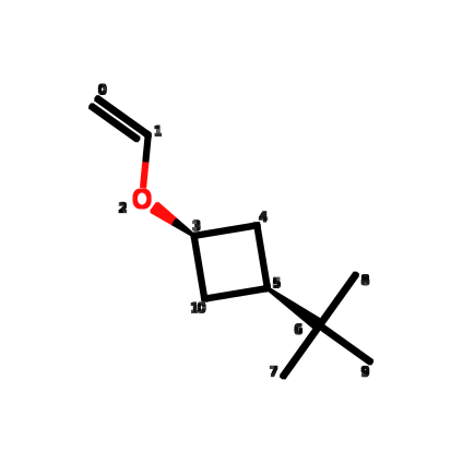 C=CO[C@H]1C[C@@H](C(C)(C)C)C1